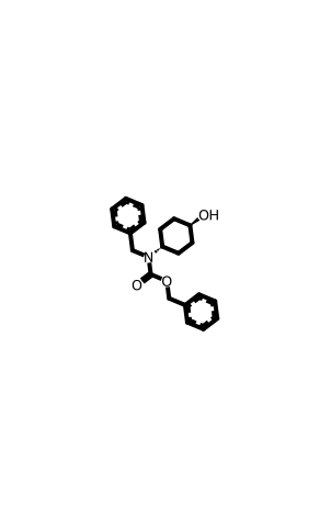 O=C(OCc1ccccc1)N(Cc1ccccc1)[C@H]1CC[C@H](O)CC1